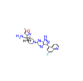 Cc1cc([C@@]2(CN)[C@@H]3CCN(c4cnc5c(-c6cc(F)cc7ncccc67)n[nH]c5n4)C[C@@H]32)no1